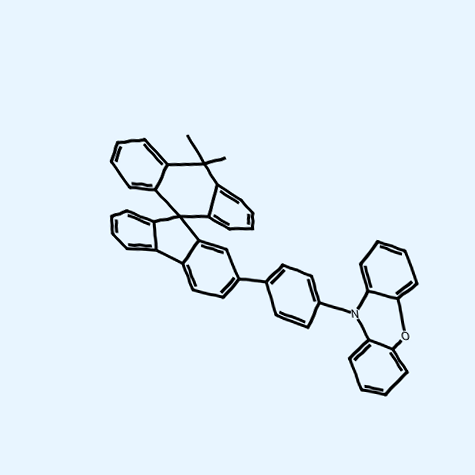 CC1(C)c2ccccc2C2(c3ccccc3-c3ccc(-c4ccc(N5c6ccccc6Oc6ccccc65)cc4)cc32)c2ccccc21